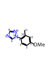 COc1ccc(-n2cncn2)c(C)c1